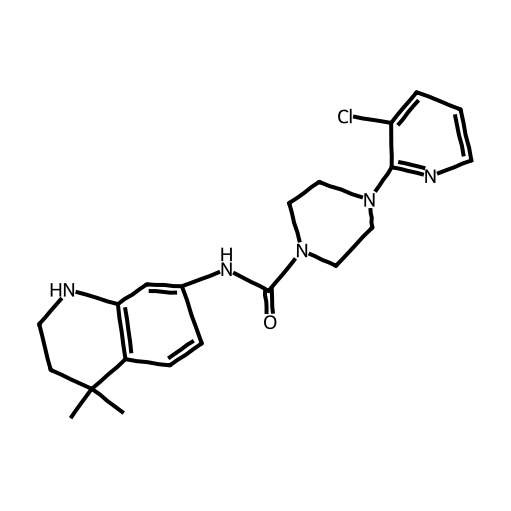 CC1(C)CCNc2cc(NC(=O)N3CCN(c4ncccc4Cl)CC3)ccc21